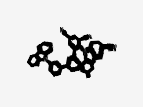 C=C1C=Cc2c(c3cc(C#N)ccc3n2-c2c(C#N)cc(C#N)cc2-c2cccc(-c3cccc(-n4c5c(c6ccccc64)C=CCC5)c3)c2)C1